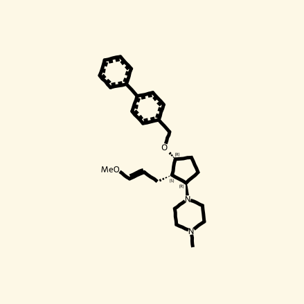 COC=CC[C@H]1[C@H](N2CCN(C)CC2)CC[C@H]1OCc1ccc(-c2ccccc2)cc1